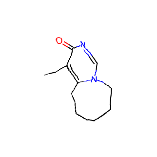 Cc1c2n(cnc1=O)CCCCC2